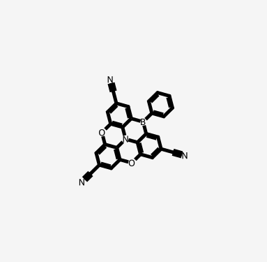 N#Cc1cc2c3c(c1)Oc1cc(C#N)cc4c1N3c1c(cc(C#N)cc1B4c1ccccc1)O2